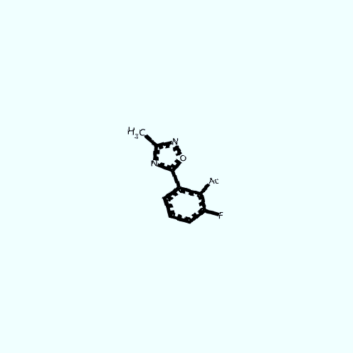 CC(=O)c1c(F)cccc1-c1nc(C)no1